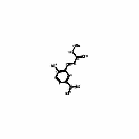 CCN(CC)c1ccc(C#N)c(OCC(=O)OC(C)(C)C)c1